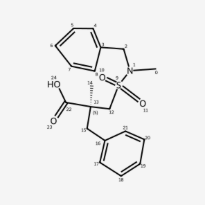 CN(Cc1ccccc1)S(=O)(=O)C[C@@](C)(Cc1ccccc1)C(=O)O